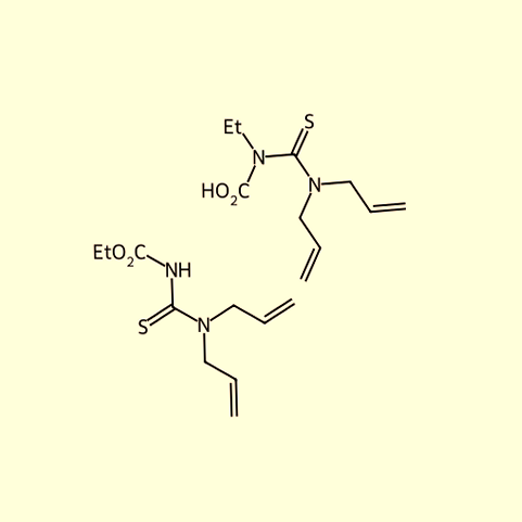 C=CCN(CC=C)C(=S)N(CC)C(=O)O.C=CCN(CC=C)C(=S)NC(=O)OCC